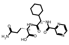 NC(=O)CC[C@H](NC(=O)[C@@H](NC(=O)c1cnccn1)C1CCCCC1)C(=O)O